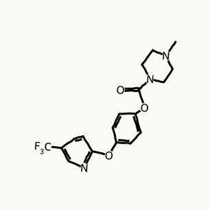 CN1CCN(C(=O)Oc2ccc(Oc3ccc(C(F)(F)F)cn3)cc2)CC1